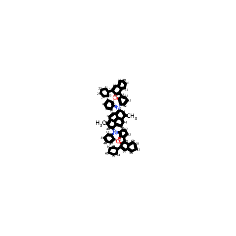 Cc1cc(N(c2ccccc2)c2cccc3c2oc2c(C4CCCCC4)cc4ccccc4c23)c2ccc3c(C)cc(N(c4ccccc4)c4cccc5c4oc4c(C6CCCCC6)cc6ccccc6c45)c4ccc1c2c34